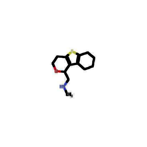 CNCC1OCCc2sc3c(c21)CCCC3